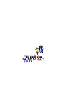 CCOC[C@]1(CCc2scc3c2ncn3C)CCN(C(C)(C)c2ccc(C)nc2)C1